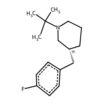 CC(C)(C)N1CCC[C@H](Cc2ccc(F)cc2)C1